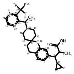 CC(C(=O)O)C(c1ccc2c(c1)OC1(CC2)CCN(C(C)c2nccnc2C(F)(F)F)CC1)C1CC1